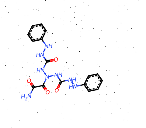 NC(=O)C(=O)N(NC(=O)NNc1ccccc1)NC(=O)NNc1ccccc1